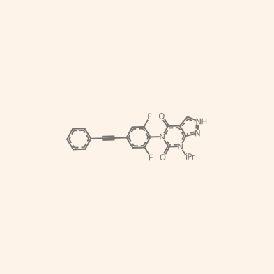 CC(C)n1c(=O)n(-c2c(F)cc(C#Cc3ccccc3)cc2F)c(=O)c2c[nH]nc21